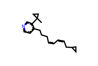 CC1(c2cnccc2CCC/C=C\C=C/CC2CC2)CC1